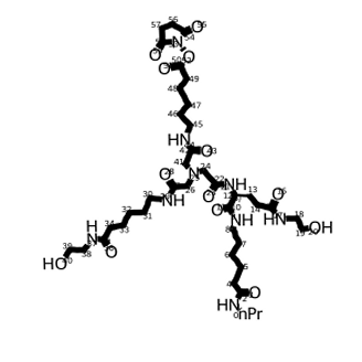 CCCNC(=O)CCCCCNC(=O)[C@H](CCC(=O)NCCO)NC(=O)CN(CC(=O)NCCCCCC(=O)NCCO)CC(=O)NCCCCCC(=O)ON1C(=O)CCC1=O